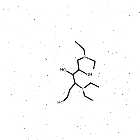 CCN(CC)CC(O)C(O)C(CCO)N(CC)CC